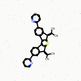 N#CC(C#N)=C1c2cc(-c3ccccn3)ccc2-c2c1sc1c2-c2ccc(-c3ccccn3)cc2C1=C(C#N)C#N